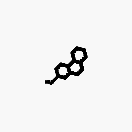 O=S(=O)(O)c1[c]c2ccc3ccccc3c2cc1